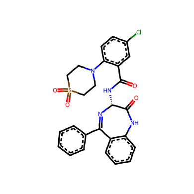 O=C(N[C@H]1N=C(c2ccccc2)c2ccccc2NC1=O)c1cc(Cl)ccc1N1CCS(=O)(=O)CC1